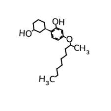 CCCCCCCC(C)Oc1ccc([C@@H]2CCC[C@H](O)C2)c(O)c1